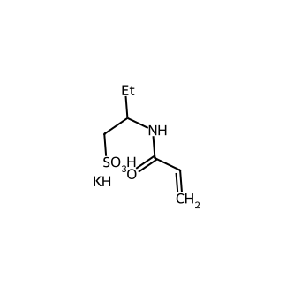 C=CC(=O)NC(CC)CS(=O)(=O)O.[KH]